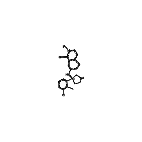 Cc1c(Cl)cccc1[C@@]1(Nc2ccc3ccn(C(C)C)c(=O)c3c2)CCNC1